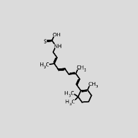 CC(C=CC1=C(C)CCCC1(C)C)=CC=CC(C)=CCNC(O)=S